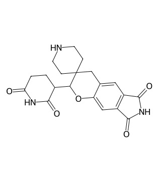 O=C1CCC(C2Oc3cc4c(cc3CC23CCNCC3)C(=O)NC4=O)C(=O)N1